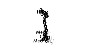 COc1ccc(Nc2nc(Nc3ccc(N4CCC(N5CCN(CCOc6cccc7c6CN(C6CCC(=O)NC6=O)C7=O)CC5)CC4)cc3OC)ncc2Cl)c(N(C)S(C)(=O)=O)c1